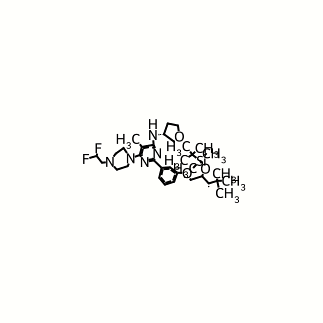 Cc1c(N[C@@H]2CCOC2)nc(-c2cccc(OCC([CH]C(C)(C)C)O[Si](C)(C)C(C)(C)C)c2)nc1N1CCN(CC(F)F)CC1